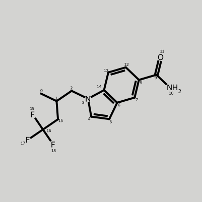 CC(Cn1ccc2cc(C(N)=O)ccc21)CC(F)(F)F